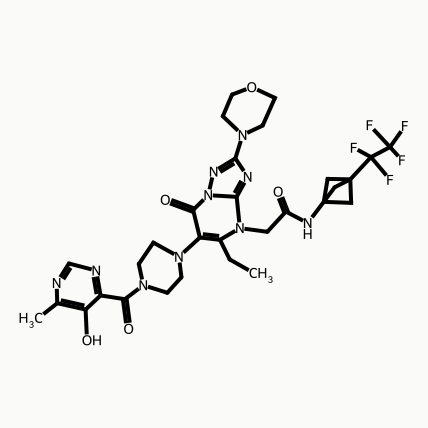 CCc1c(N2CCN(C(=O)c3ncnc(C)c3O)CC2)c(=O)n2nc(N3CCOCC3)nc2n1CC(=O)NC12CC(C(F)(F)C(F)(F)F)(C1)C2